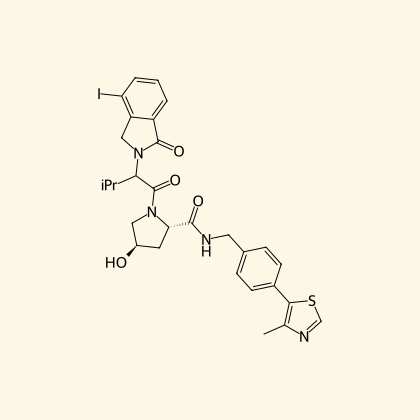 Cc1ncsc1-c1ccc(CNC(=O)[C@@H]2C[C@@H](O)CN2C(=O)C(C(C)C)N2Cc3c(I)cccc3C2=O)cc1